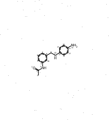 CC(=O)Nc1cccc(CNc2ccc(N)cc2)c1